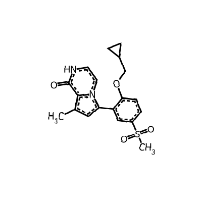 Cc1cc(-c2cc(S(C)(=O)=O)ccc2OCC2CC2)n2cc[nH]c(=O)c12